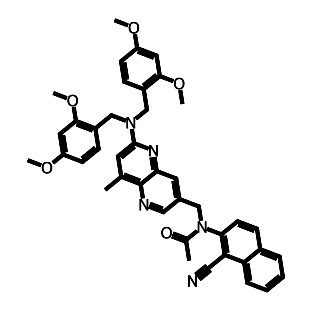 COc1ccc(CN(Cc2ccc(OC)cc2OC)c2cc(C)c3ncc(CN(C(C)=O)c4ccc5ccccc5c4C#N)cc3n2)c(OC)c1